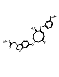 C=C1CC[C@@H](Oc2ccc3c(c2)OC[C@H]3CC(=O)OC)C/C(F)=C\C=C/1Oc1cccc(OC)c1